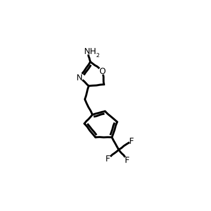 NC1=NC(Cc2ccc(C(F)(F)F)cc2)CO1